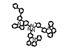 CC1C=CC(c2ccc(-c3ccccc3)c(-n3c4ccccc4c4ccccc43)c2)=CC1c1nc(-c2ccc(-c3cc(-c4cccc(-c5ccccc5)c4)ccc3-n3c4ccccc4c4ccccc43)cc2)nc(-c2ccc(-c3ccccc3)c(-n3c4ccccc4c4ccccc43)c2)n1